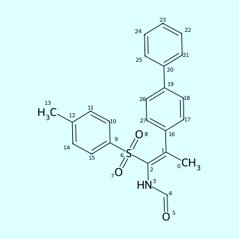 CC(=C(NC=O)S(=O)(=O)c1ccc(C)cc1)c1ccc(-c2ccccc2)cc1